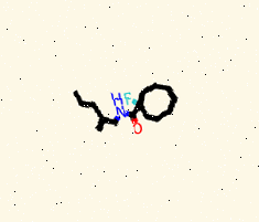 CCCC(C)CNC(=O)C1(F)CCCCCCC1